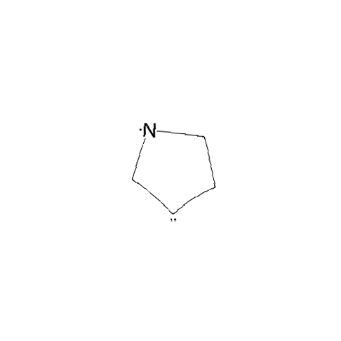 [C]1CC[N]C1